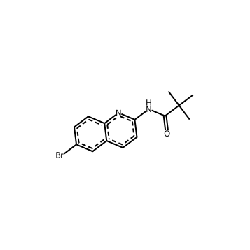 CC(C)(C)C(=O)Nc1ccc2cc(Br)ccc2n1